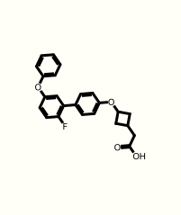 O=C(O)CC1CC(Oc2ccc(-c3cc(Oc4ccccc4)ccc3F)cc2)C1